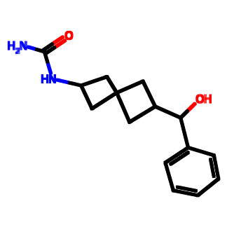 NC(=O)NC1CC2(C1)CC(C(O)c1ccccc1)C2